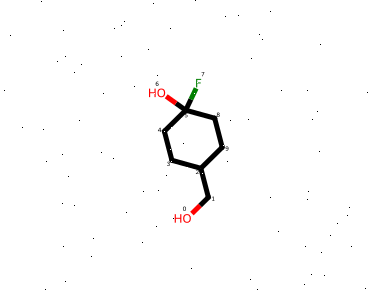 OCC1CCC(O)(F)CC1